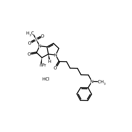 CCC[C@H]1C(=O)N(S(C)(=O)=O)C2=CCN(C(=O)CCCCCN(C)c3ccccc3)[C@@H]21.Cl